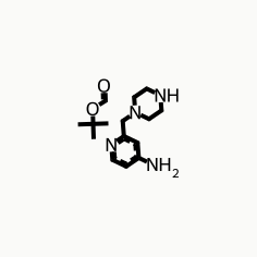 CC(C)(C)OC=O.Nc1ccnc(CN2CCNCC2)c1